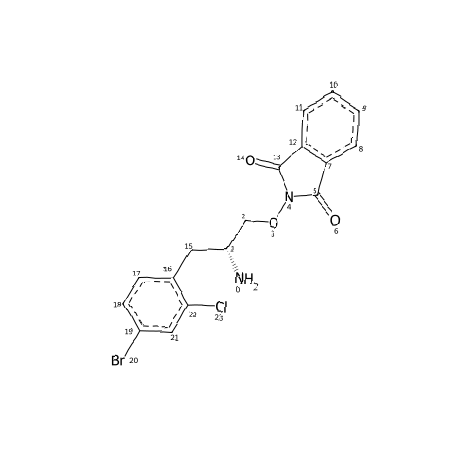 N[C@@H](CON1C(=O)c2ccccc2C1=O)Cc1ccc(Br)cc1Cl